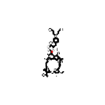 CC[C@H]1c2cc3[nH]c4c(c3C)C(=O)C(C(=O)OC)c4c3nc(cc4[nH]c(cc(n2)[C@@H]1C)c(C(C)=O)c4C)[C@@H](C)[C@@H]3CCC(=O)NC(Cc1ccc(N(CCCl)CCCl)cc1)C(=O)O